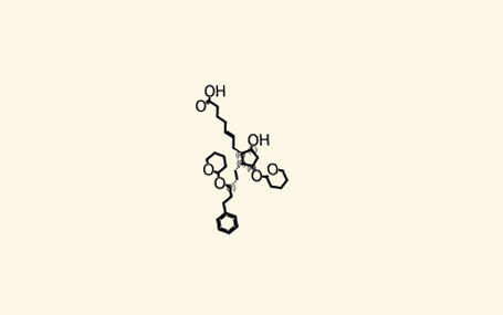 O=C(O)CCCC=CC[C@@H]1[C@@H](CC[C@H](CCc2ccccc2)OC2CCCCO2)[C@H](OC2CCCCO2)C[C@@H]1O